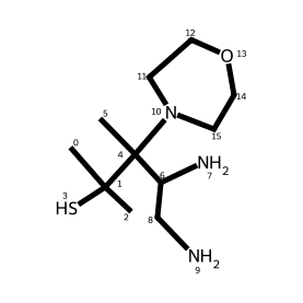 CC(C)(S)C(C)(C(N)CN)N1CCOCC1